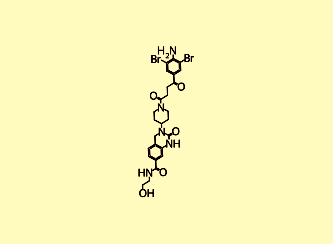 Nc1c(Br)cc(C(=O)CCC(=O)N2CCC(N3Cc4ccc(C(=O)NCCO)cc4NC3=O)CC2)cc1Br